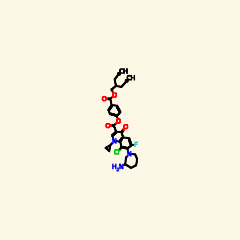 C#CCC(CC#C)COC(=O)c1ccc(OC(=O)c2cn(C3CC3)c3c(Cl)c(N4CCCC[C@@H](N)C4)c(F)cc3c2=O)cc1